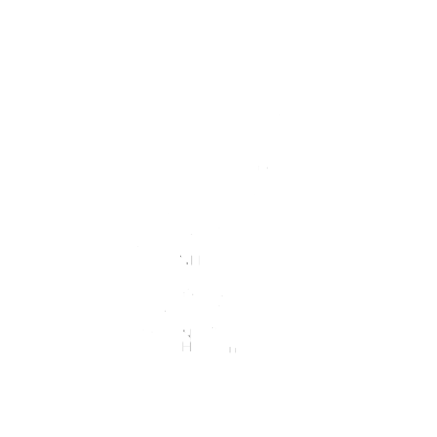 CCCCCCCCC(=O)NS(=O)(=O)c1ccccc1NC(=O)c1cccc(OCc2ccccc2)c1